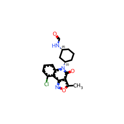 Cc1onc2c1c(=O)n([C@H]1CCC[C@@H](NC=O)C1)c1cccc(Cl)c21